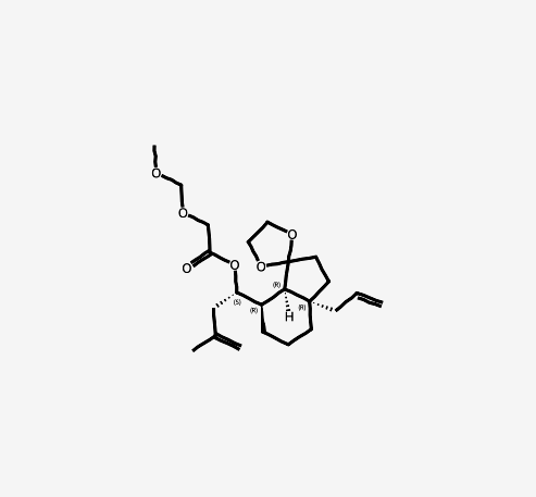 C=CC[C@]12CCC[C@@H]([C@H](CC(=C)C)OC(=O)COCOC)[C@H]1C1(CC2)OCCO1